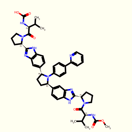 COC(=O)N[C@H](C(=O)N1CCC[C@H]1c1nc2cc([C@H]3CC[C@H](c4ccc5[nH]c([C@@H]6CCCN6C(=O)[C@@H](NC(=O)O)C(C)C)nc5c4)N3c3ccc(-c4ccccn4)cc3)ccc2[nH]1)C(C)C